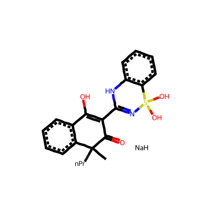 CCCC1(C)C(=O)C(C2=NS(O)(O)c3ccccc3N2)=C(O)c2ccccc21.[NaH]